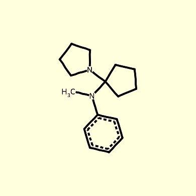 CN(c1ccccc1)C1(N2CCCC2)CCCC1